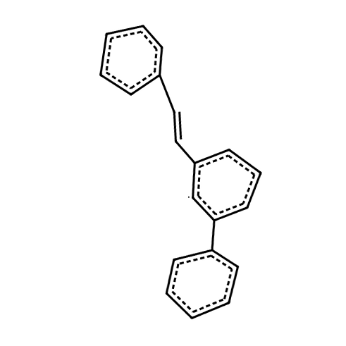 [c]1c(C=Cc2ccccc2)cccc1-c1ccccc1